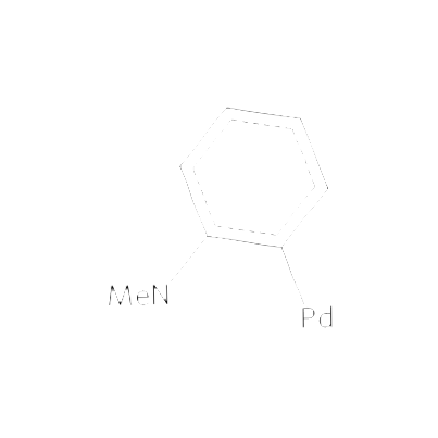 CNc1cccc[c]1[Pd]